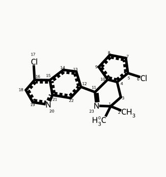 CC1(C)Cc2c(Cl)cccc2C(c2ccc3c(Cl)ccnc3c2)=N1